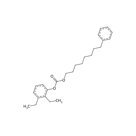 CCc1cccc(OC(=O)OCCCCCCCCc2ccccc2)c1CC